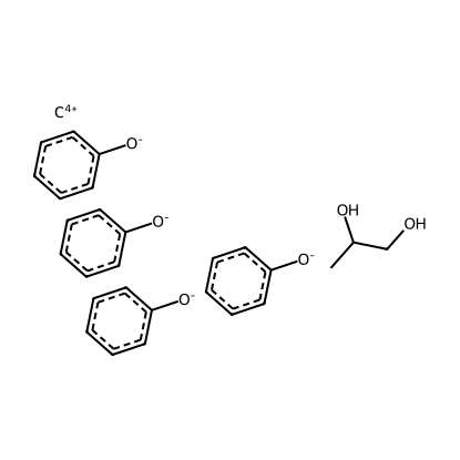 CC(O)CO.[C+4].[O-]c1ccccc1.[O-]c1ccccc1.[O-]c1ccccc1.[O-]c1ccccc1